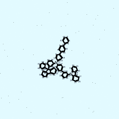 c1ccc(-c2ccc(-c3ccc(N(c4ccc(-c5cccc(-n6c7ccccc7c7ccccc76)c5)cc4)c4cccc(C5(c6ccccc6)c6ccccc6-c6ccccc65)c4)cc3)cc2)cc1